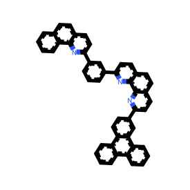 c1cc(-c2ccc3ccc4ccccc4c3n2)cc(-c2ccc3ccc4ccc(-c5ccc6c7ccccc7c7ccccc7c6c5)nc4c3n2)c1